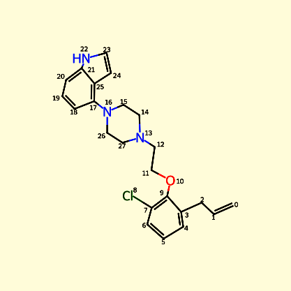 C=CCc1cccc(Cl)c1OCCN1CCN(c2cccc3[nH]ccc23)CC1